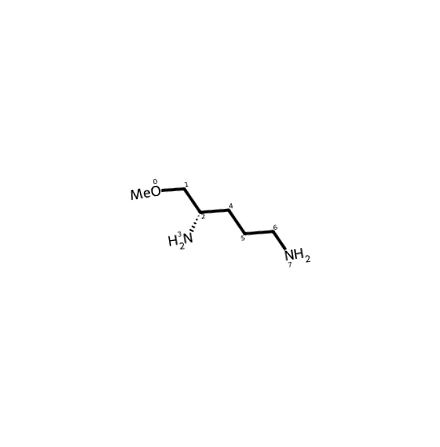 COC[C@@H](N)CCCN